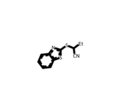 CCC(C#N)Sc1nc2ccccc2s1